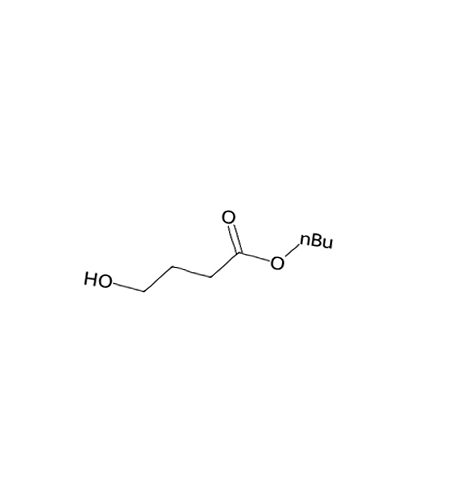 [CH2]CCCOC(=O)CCCO